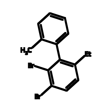 CCc1ccc(Br)c(Br)c1-c1ccccc1C